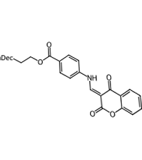 CCCCCCCCCCCCOC(=O)c1ccc(NC=C2C(=O)Oc3ccccc3C2=O)cc1